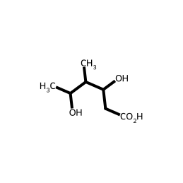 CC(O)C(C)C(O)CC(=O)O